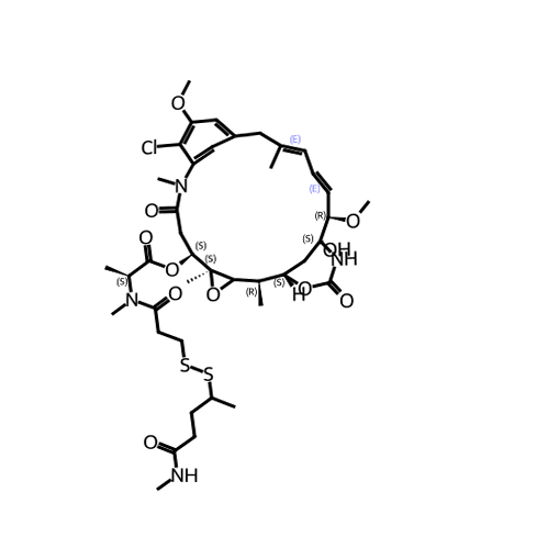 CNC(=O)CCC(C)SSCCC(=O)N(C)[C@@H](C)C(=O)O[C@H]1CC(=O)N(C)c2cc(cc(OC)c2Cl)C/C(C)=C/C=C/[C@@H](OC)[C@@]2(O)C[C@H](OC(=O)N2)[C@@H](C)C2O[C@]21C